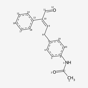 CC(=O)Nc1ccc(C/C=C(/C=O)c2ccccc2)cc1